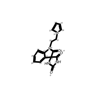 O=C1NC(=O)C2(N1)C(=O)N(CCn1cccc1)c1ccccc12